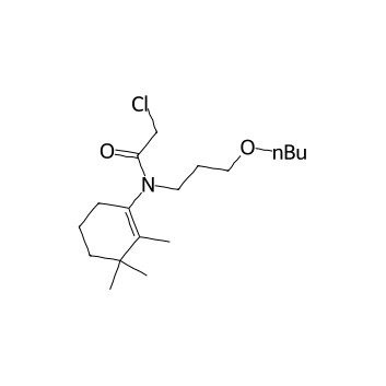 CCCCOCCCN(C(=O)CCl)C1=C(C)C(C)(C)CCC1